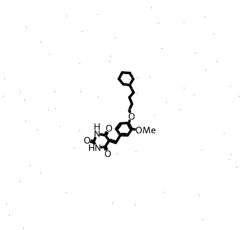 COc1cc(C=C2C(=O)NC(=O)NC2=O)ccc1OCCCCC1CCCCC1